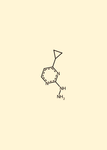 NNc1nccc(C2CC2)n1